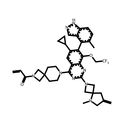 C=CC(=O)N1CC2(CCN(c3nc(N4CC5(CC(=C)CN5C)C4)nc4c(OCC(F)(F)F)c(-c5c(C)ccc6[nH]ncc56)c(C5CC5)cc34)CC2)C1